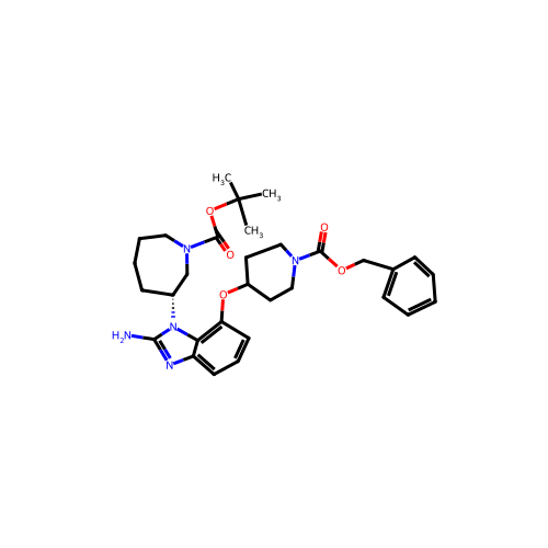 CC(C)(C)OC(=O)N1CCCC[C@@H](n2c(N)nc3cccc(OC4CCN(C(=O)OCc5ccccc5)CC4)c32)C1